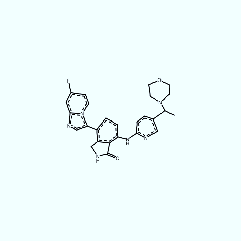 CC(c1ccc(Nc2ccc(-c3cnc4cc(F)ccn34)c3c2C(=O)NC3)nc1)N1CCOCC1